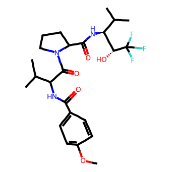 COc1ccc(C(=O)NC(C(=O)N2CCCC2C(=O)N[C@@H](C(C)C)[C@@H](O)C(F)(F)F)C(C)C)cc1